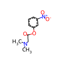 CN(C)CC(=O)Oc1cccc([N+](=O)[O-])c1